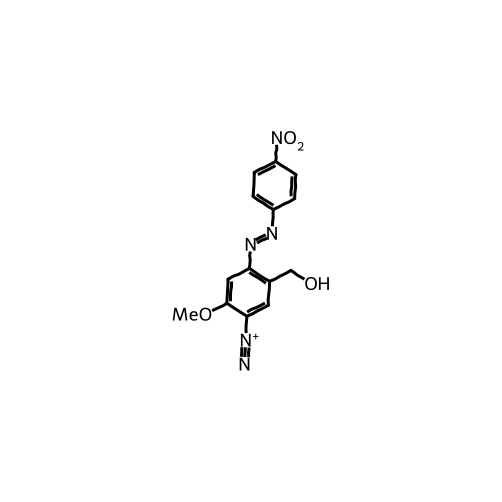 COc1cc(N=Nc2ccc([N+](=O)[O-])cc2)c(CO)cc1[N+]#N